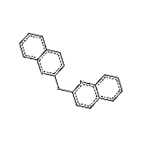 [CH](c1ccc2ccccc2n1)c1ccc2ccccc2n1